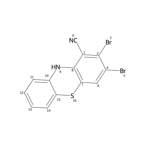 N#Cc1c(Br)c(Br)cc2c1Nc1ccccc1S2